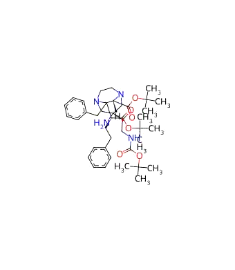 CC(C)(C)OC(=O)NCCC1(N)CN2CCN(C1)C(Cc1ccccc1)([C@H](CCc1ccccc1)C(=O)OC(C)(C)C)[C@H]2C(=O)OC(C)(C)C